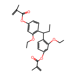 C=C(C)C(=O)Oc1ccc(C(CC)c2ccc(OC(=O)C(=C)C)cc2OCC)c(OCC)c1